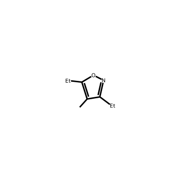 CCc1noc(CC)c1C